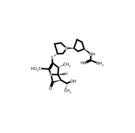 C[C@@H](O)[C@H]1C(=O)N2C(C(=O)O)=C(S[C@@H]3CCN([C@H]4CC[C@@H](NC(=N)N)C4)C3)[C@H](C)[C@H]12